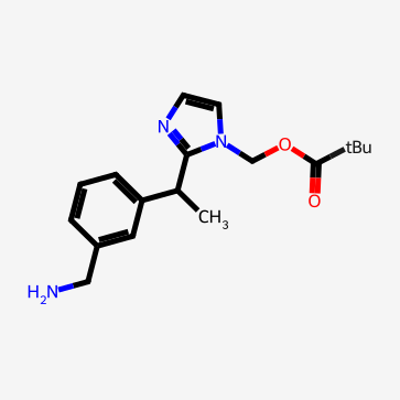 CC(c1cccc(CN)c1)c1nccn1COC(=O)C(C)(C)C